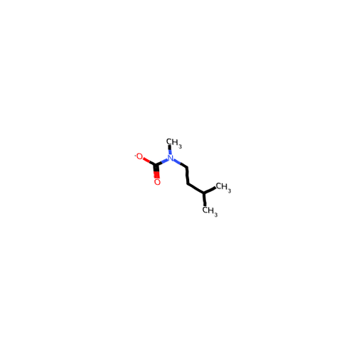 CC(C)CCN(C)C([O])=O